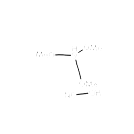 CO[SiH](OC)OC.N#CO